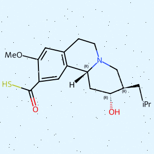 COc1cc2c(cc1C(=O)S)[C@H]1C[C@@H](O)[C@H](CC(C)C)CN1CC2